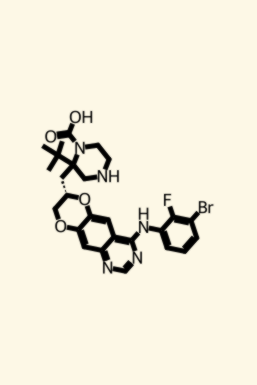 CC(C)(C)C1(C[C@H]2COc3cc4ncnc(Nc5cccc(Br)c5F)c4cc3O2)CNCCN1C(=O)O